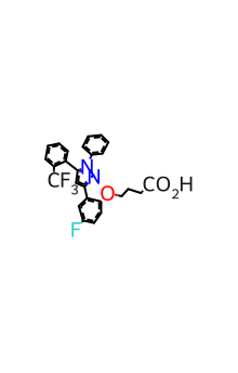 O=C(O)CCCOc1ccc(F)cc1-c1cc(-c2ccccc2C(F)(F)F)n(-c2ccccc2)n1